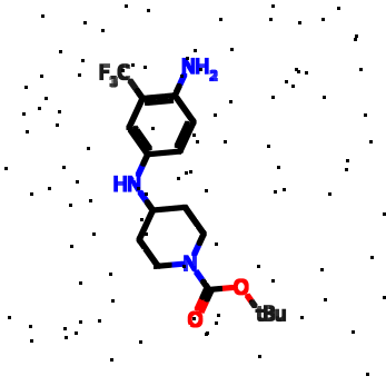 CC(C)(C)OC(=O)N1CCC(Nc2ccc(N)c(C(F)(F)F)c2)CC1